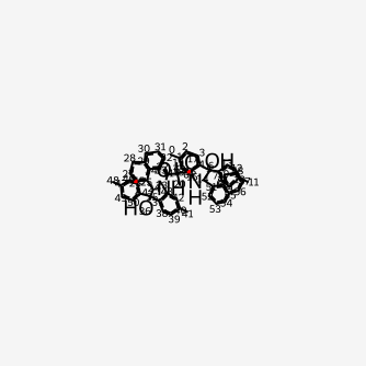 Cc1ccc(C(O)(c2ccc(C)cc2)[C@@H](NC(=O)C(C)(C)C(=O)N[C@@H](c2cccc3ccccc23)C(O)(c2ccc(C)cc2)c2ccc(C)cc2)c2cccc3ccccc23)cc1